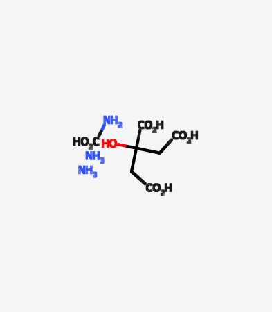 N.N.NC(=O)O.O=C(O)CC(O)(CC(=O)O)C(=O)O